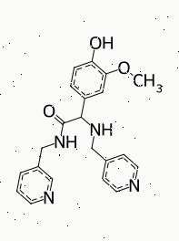 COc1cc(C(NCc2ccncc2)C(=O)NCc2cccnc2)ccc1O